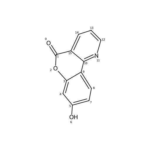 O=c1oc2cc(O)ccc2c2ncccc12